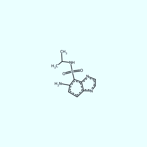 CC(C)NS(=O)(=O)c1c(N)ccc2nccnc12